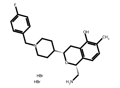 Br.Br.Cc1ccc2c(c1O)C[C@@H](C1CCN(Cc3ccc(F)cc3)CC1)O[C@H]2CN